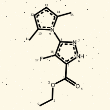 CCOC(=O)c1[nH]nc(-n2c(C)ccc2C)c1F